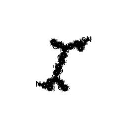 N#Cc1ccc2c(c1)-c1ccc(-c3nc(-c4ccc5c(c4)oc4ccccc45)nc(-c4ccc5c(c4)oc4cc(-c6ccc7c(c6)oc6cc(-c8nc(-c9ccc(-c%10ccc%11c(c%10)C%10(CCCCC%10)C%10=C%11CSC(C#N)C=C%10)cc9)nc(-c9ccc%10c(c9)oc9ccccc9%10)n8)ccc67)ccc45)n3)cc1C21CCCCC1